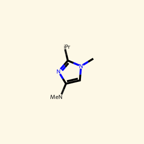 CNc1cn(C)c(C(C)C)n1